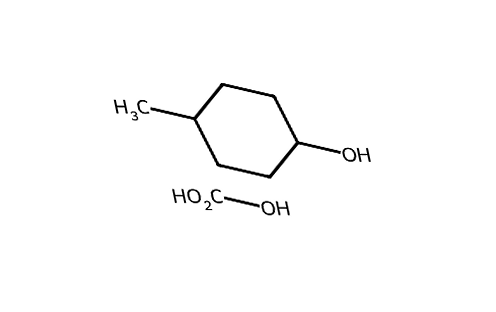 CC1CCC(O)CC1.O=C(O)O